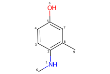 CNc1ccc(O)cc1C